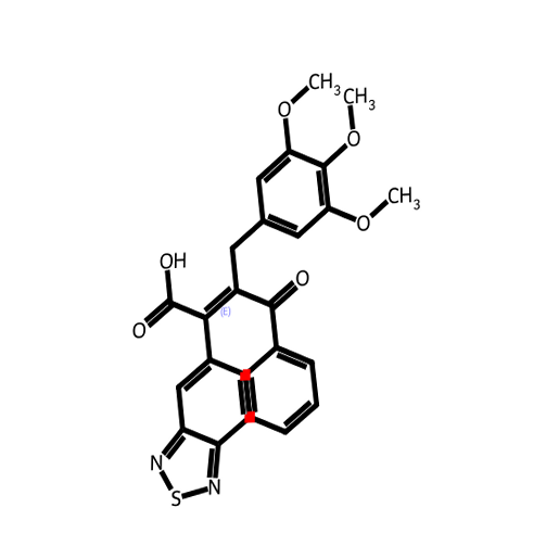 COc1cc(C/C(C(=O)c2ccccc2)=C(\C(=O)O)c2ccc3nsnc3c2)cc(OC)c1OC